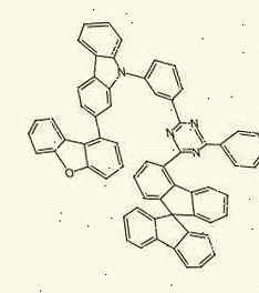 c1ccc(-c2nc(-c3cccc(-n4c5ccccc5c5ccc(-c6cccc7oc8ccccc8c67)cc54)c3)nc(-c3cccc4c3-c3ccccc3C43c4ccccc4-c4ccccc43)n2)cc1